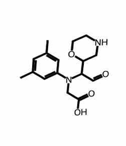 Cc1cc(C)cc(N(CC(=O)O)C(C=O)C2CNCCO2)c1